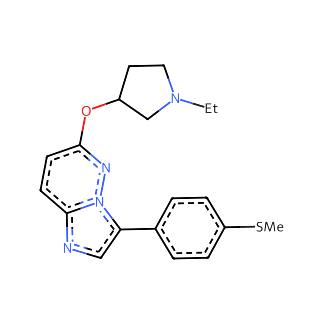 CCN1CCC(Oc2ccc3ncc(-c4ccc(SC)cc4)n3n2)C1